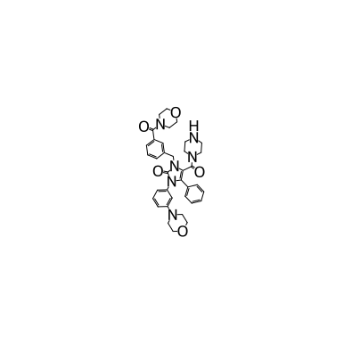 O=C(c1cccc(Cn2c(C(=O)N3CCNCC3)c(-c3ccccc3)n(-c3cccc(N4CCOCC4)c3)c2=O)c1)N1CCOCC1